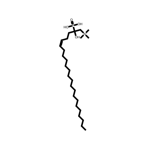 CCCCCCCCCCCCCCCCC/C=C\CCC(O)(C[N+](C)(C)C)P(=O)(O)O